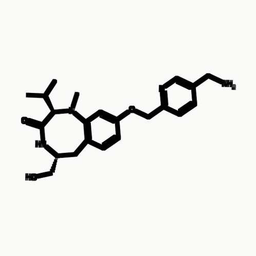 CC(C)[C@@H]1C(=O)N[C@@H](CO)Cc2ccc(OCc3ccc(CN)cn3)cc2N1C